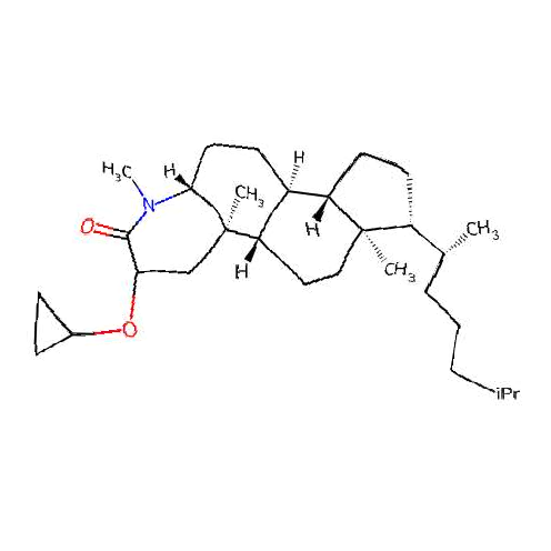 CC(C)CCC[C@@H](C)[C@H]1CC[C@H]2[C@@H]3CC[C@H]4N(C)C(=O)C(OC5CC5)C[C@]4(C)[C@H]3CC[C@]12C